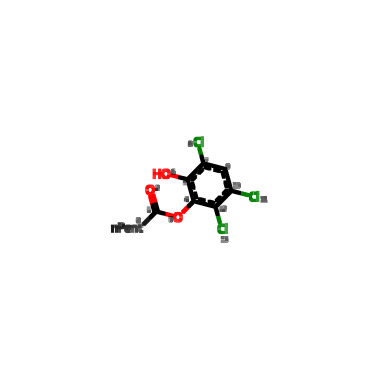 CCCCCC(=O)Oc1c(O)c(Cl)cc(Cl)c1Cl